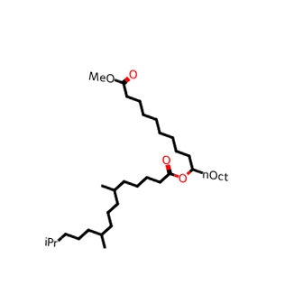 CCCCCCCCC(CCCCCCCCC(=O)OC)OC(=O)CCCCC(C)CCCC(C)CCCC(C)C